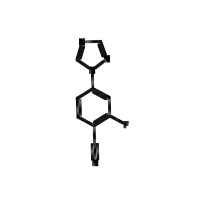 N#Cc1ccc(-n2cncn2)cc1F